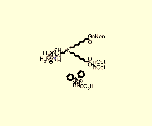 CCCCCCCCCOC(=O)CCCCCCCN(CCCCCCCC(=O)OC(CCCCCCCC)CCCCCCCC)CCCN/C(=N/S(N)(=O)=O)N(C)C.O=C(O)NS(=O)(=O)N(c1ccccc1)c1ccccc1